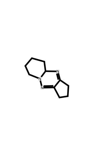 C1CC2=NC3CCCCN3N=C2C1